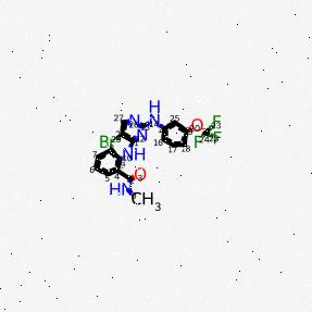 CNC(=O)c1ccccc1Nc1nc(Nc2cccc(OC(F)(F)F)c2)ncc1Br